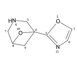 c1coc(C23CNCC(C2)O3)n1